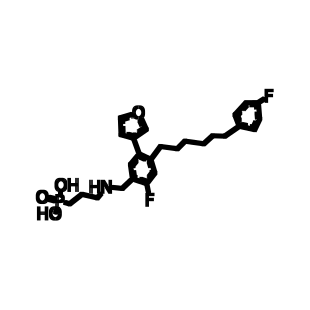 O=P(O)(O)CCCNCc1cc(-c2ccoc2)c(CCCCCCc2ccc(F)cc2)cc1F